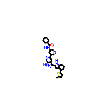 Cc1ccc(-c2cccc3[nH]c(-c4n[nH]c5cnc(-c6cncc(NC(=O)C7CCCCC7)c6)cc45)cc23)s1